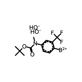 [B+2]c1ccc(N(C)C(=O)OC(C)(C)C)cc1C(F)(F)F.[OH-].[OH-]